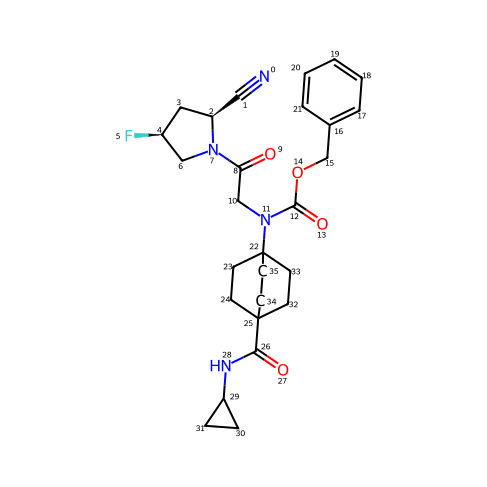 N#C[C@@H]1C[C@H](F)CN1C(=O)CN(C(=O)OCc1ccccc1)C12CCC(C(=O)NC3CC3)(CC1)CC2